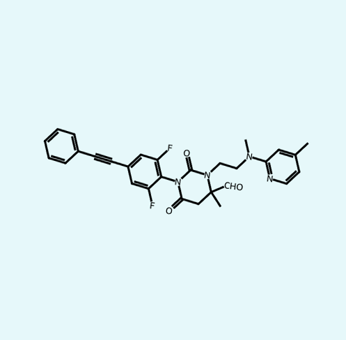 Cc1ccnc(N(C)CCN2C(=O)N(c3c(F)cc(C#Cc4ccccc4)cc3F)C(=O)CC2(C)C=O)c1